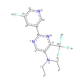 CCN(CC)c1cnc(-c2cncc(F)c2)nc1C(F)(F)F